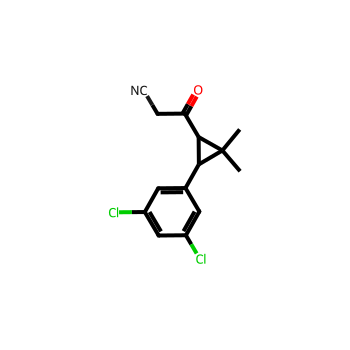 CC1(C)C(C(=O)CC#N)C1c1cc(Cl)cc(Cl)c1